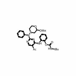 COC1CN(N(c2ccccc2)c2ncc(C(C)=O)c(Nc3ccccc3OC(=O)NC(C)(C)C)n2)CCO1